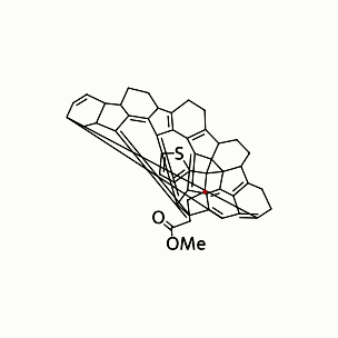 COC(=O)CCCC1(c2cccs2)C23c4c5c6c7c8c4=C4CCC=8C8C=CC9C%10CCC%11C%12=c%13c%14c(c-5c5c-6c(c%10c%11c%135)C9C78)C12C(CCC43)C=%14CC%12